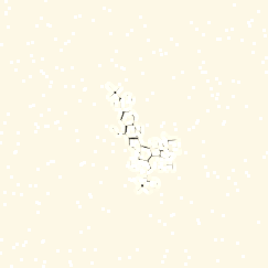 CCc1c2c(nc3ccc(OC(=O)C(C)(C)C)cc13)-c1cc([C@@](O)(CC)C(=O)NC(C)C)c(COC(=O)C(C)(C)C)c(=O)n1C2